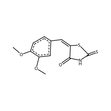 COc1ccc(C=C2SC(=S)NC2=O)cc1OC